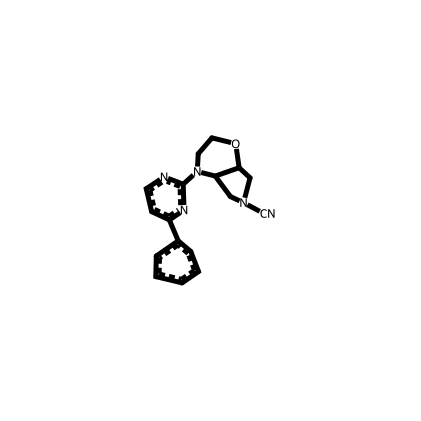 N#CN1CC2OCCN(c3nccc(-c4ccccc4)n3)C2C1